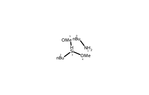 CCCCN.CCCC[SiH](OC)OC